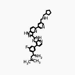 CN(C)CC(N)c1cc(F)cc(-c2ccnc3[nH]c(-c4n[nH]c5ccc(-c6cncc(CNCC7CCCC7)c6)nc45)nc23)c1